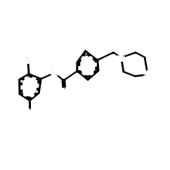 Cc1ccc(N)c(NC(=O)c2ccc(CN3CCOCC3)cc2)c1